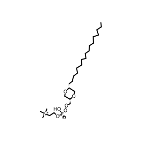 CCCCCCCCCCCCCCCCC[C@@H]1CO[C@@H](COOP(=O)(O)OCC[N+](C)(C)C)CO1